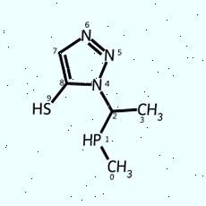 CPC(C)n1nncc1S